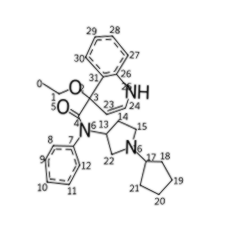 CCOC1(C(=O)N(c2ccccc2)C2CCN(C3CCCC3)C2)C=CNc2ccccc21